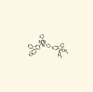 CC1(C)c2ccccc2-c2cc(-c3ccc(-c4nc(-c5ccccc5)nc(-c5ccc6c(c5)-c5ccccc5C65C6CC7CC(C6)CC5C7)n4)cc3)ccc21